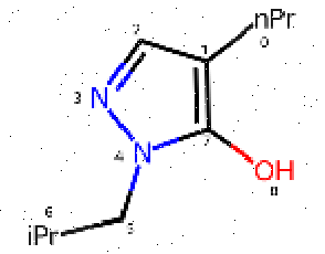 CCCc1cnn(CC(C)C)c1O